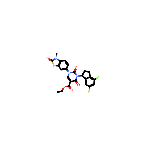 CCOC(=O)c1cn(-c2ccc3c(c2)sc(=O)n3C)c(=O)n(C2CCc3c(F)cc(F)cc32)c1=O